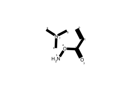 C=CC(=O)ON.CN(C)C